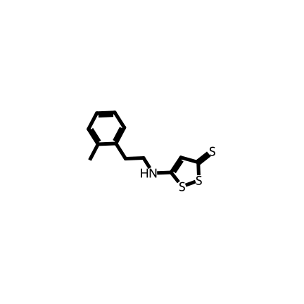 Cc1ccccc1CCNc1cc(=S)ss1